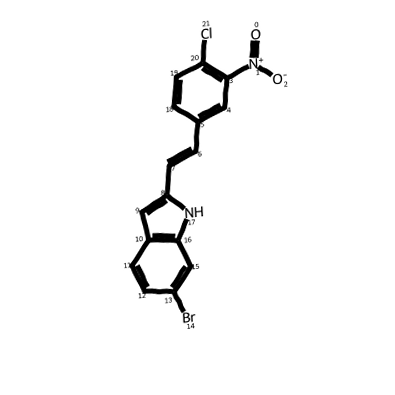 O=[N+]([O-])c1cc(C=Cc2cc3ccc(Br)cc3[nH]2)ccc1Cl